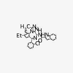 CCc1cc2c(s1)-n1c(C)nnc1C(NC(=O)c1cc3ccccc3[nH]1)N=C2c1ccccc1Cl